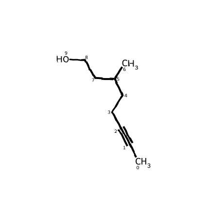 CC#CCCC(C)CCO